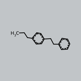 CCCc1ccc(CCc2ccccc2)cc1